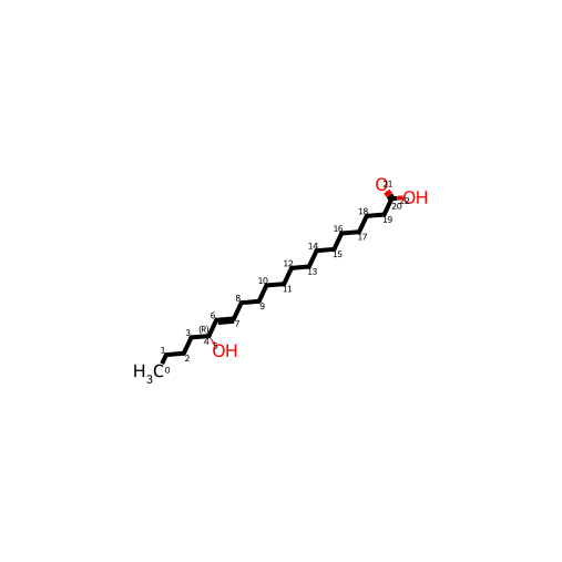 CCCC[C@@H](O)C=CCCCCCCCCCCCCC(=O)O